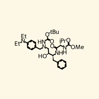 CCN(CC)c1ccc(CN(C[C@H](O)[C@H](Cc2ccccc2)NC(=O)[C@@H](NC(=O)OC)C(C)C)NC(=O)OC(C)(C)C)cc1